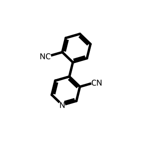 N#Cc1ccccc1-c1ccncc1C#N